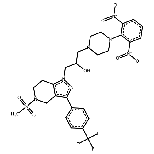 CS(=O)(=O)N1CCc2c(c(-c3ccc(C(F)(F)F)cc3)nn2CC(O)CN2CCN(c3c([N+](=O)[O-])cccc3[N+](=O)[O-])CC2)C1